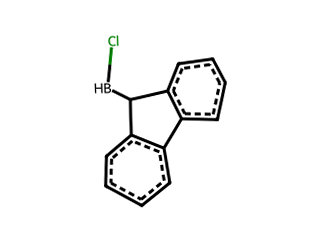 ClBC1c2ccccc2-c2ccccc21